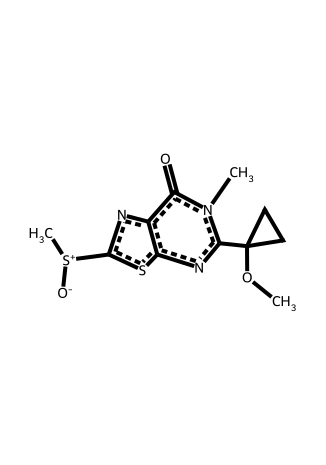 COC1(c2nc3sc([S+](C)[O-])nc3c(=O)n2C)CC1